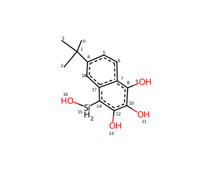 CC(C)(C)c1ccc2c(O)c(O)c(O)c([SiH2]O)c2c1